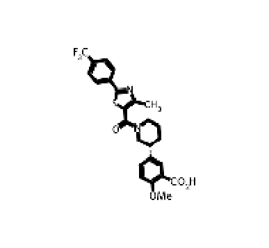 COc1ccc([C@H]2CCCN(C(=O)c3sc(-c4ccc(C(F)(F)F)cc4)nc3C)C2)cc1C(=O)O